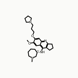 COc1cc2c(N[C@H]3CCCCN(C)C3)c3c(nc2cc1OCCCN1CCCC1)CCC3